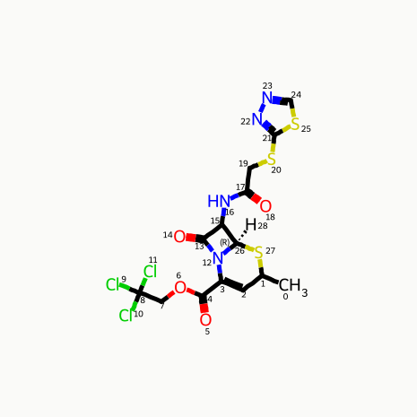 CC1C=C(C(=O)OCC(Cl)(Cl)Cl)N2C(=O)C(NC(=O)CSc3nncs3)[C@H]2S1